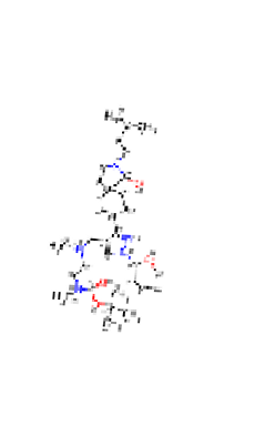 CC(C)CCN1CCC2(CCC(c3nn(C4CCCCO4)cc3CN(C)CCN(C)C(=O)OC(C)(C)C)CC2)C1=O